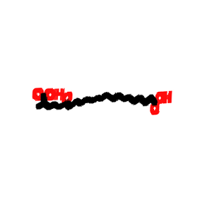 CC(CCCC(=O)CCCCCCCCCCCCCCCCC(=O)O)C(=O)O